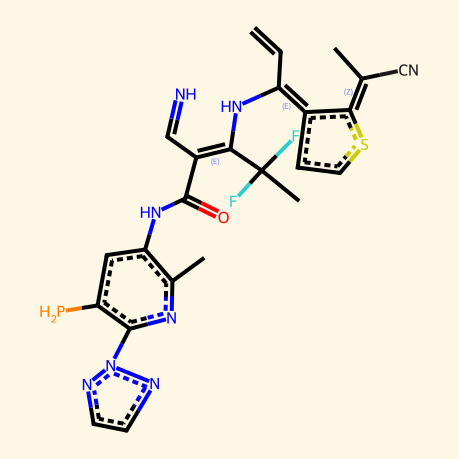 C=C/C(N/C(=C(\C=N)C(=O)Nc1cc(P)c(-n2nccn2)nc1C)C(C)(F)F)=c1/ccs/c1=C(/C)C#N